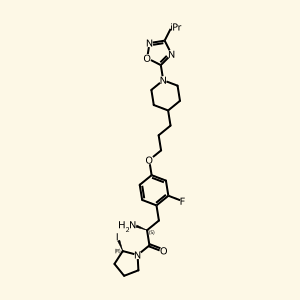 CC(C)c1noc(N2CCC(CCCOc3ccc(C[C@H](N)C(=O)N4CCC[C@H]4I)c(F)c3)CC2)n1